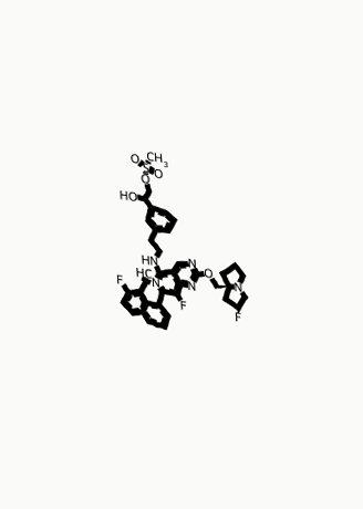 C#Cc1c(F)ccc2cccc(-c3nc(NCCc4cccc(C(O)COS(C)(=O)=O)c4)c4cnc(OC[C@@]56CCCN5C[C@H](F)C6)nc4c3F)c12